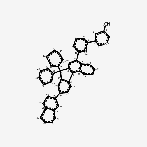 N#Cc1cncc(-c2cccc(-c3cc4c(c5ccccc35)-c3ccc(-c5ccc6ccccc6c5)cc3C4(c3ccccc3)c3ccccc3)n2)c1